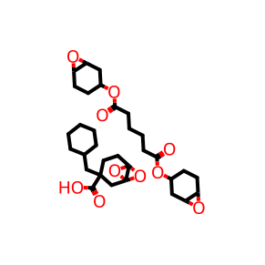 O=C(CCCCC(=O)OC1CCC2OC2C1)OC1CCC2OC2C1.O=C(O)C1(CC2CCCCC2)CCC23OC2(C1)O3